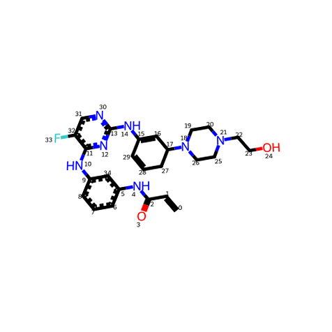 C=CC(=O)Nc1cccc(Nc2nc(NC3=CC(N4CCN(CCO)CC4)CC=C3)ncc2F)c1